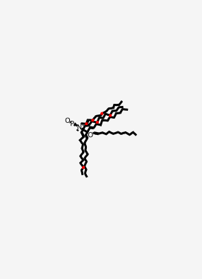 CCCCCCCCCCC=CC[N+](C)(C#P=O)C(C=CCCCCCCCCCC)(C=CCCCCCCCCCC)C(C=CCCCCCCCCCC)(C=CCCCCCCCCCC)OC=CCCCCCCCCCC